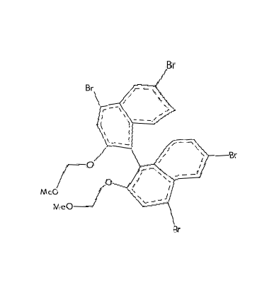 COCOc1cc(Br)c2cc(Br)ccc2c1-c1c(OCOC)cc(Br)c2cc(Br)ccc12